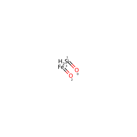 O=[SiH2].[O]=[Fe]